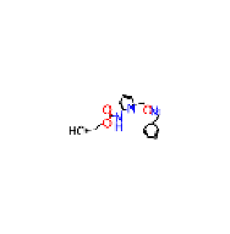 C#CCCOC(=O)Nc1cccc(CO/N=C\c2ccccc2)n1